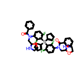 O=C(c1ccccc1)N(CC1NCCO1)c1ccc(F)[c]([Ti]([C]2=CC=CC2)([C]2=CC=CC2)[c]2c(F)ccc(N(CC3NCCO3)C(=O)c3ccccc3)c2F)c1F